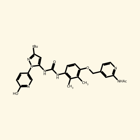 CC(=O)Nc1cc(COc2ccc(NC(=O)Nc3cc(C(C)(C)C)nn3-c3ccc(O)nc3)c(C)c2C)ccn1